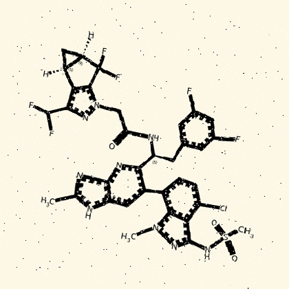 Cc1nc2nc([C@H](Cc3cc(F)cc(F)c3)NC(=O)Cn3nc(C(F)F)c4c3C(F)(F)[C@@H]3C[C@H]43)c(-c3ccc(Cl)c4c(NS(C)(=O)=O)nn(C)c34)cc2[nH]1